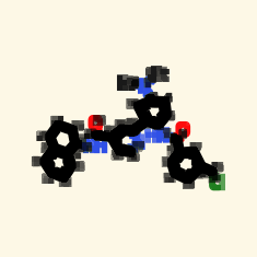 CCN(CC)c1ccc(NC(=O)c2cccc(CCl)c2)c(-c2cc(C(=O)NC3CCCc4ccccc43)ccn2)c1